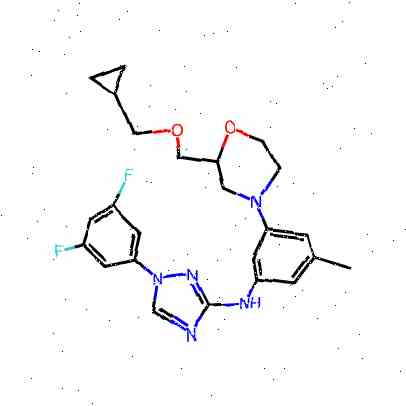 Cc1cc(Nc2ncn(-c3cc(F)cc(F)c3)n2)cc(N2CCOC(COCC3CC3)C2)c1